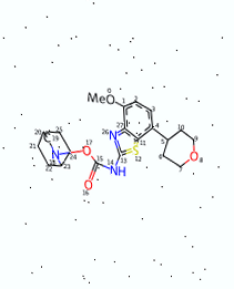 COc1ccc(C2CCOCC2)c2sc(NC(=O)ON3CC4CCC3CC4)nc12